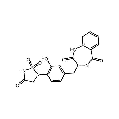 O=C1CN(c2ccc(CC3NC(=O)c4ccccc4NC3=O)cc2O)S(=O)(=O)N1